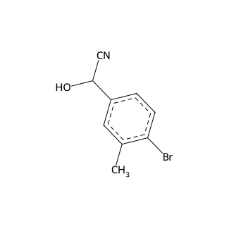 Cc1cc(C(O)C#N)ccc1Br